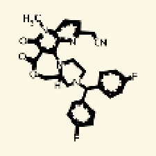 Cn1c(=O)c2c(c3nc(CC#N)ccc31)N1CCN(C(c3ccc(F)cc3)c3ccc(F)cc3)C[C@@H]1COC2=O